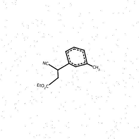 CCOC(=O)CC(C#N)c1cccc(C)c1